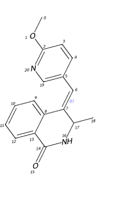 COc1ccc(/C=C2\c3ccccc3C(=O)NC2C)cn1